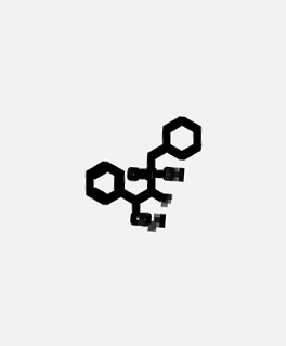 O=C(O)C(c1ccccc1)C(F)P(=O)(O)CC1CCCCC1